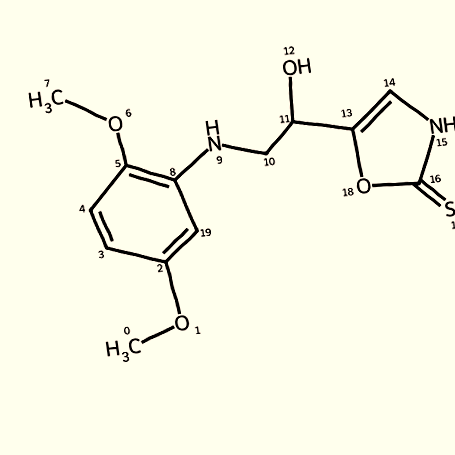 COc1ccc(OC)c(NCC(O)c2c[nH]c(=S)o2)c1